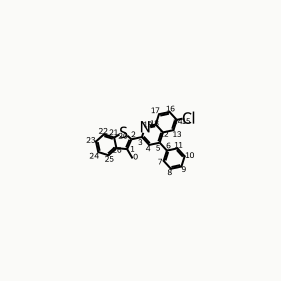 Cc1c(-c2cc(-c3ccccc3)c3cc(Cl)ccc3n2)sc2ccccc12